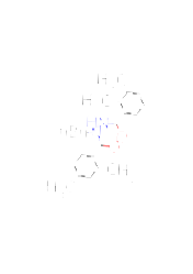 CCCCN(NC(=O)c1cccc(C)c1C)C(=O)c1ccc(C)cc1C